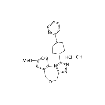 COc1ccc2c(c1)COCc1nnc(C3CCN(c4ccccn4)CC3)n1-2.Cl.Cl